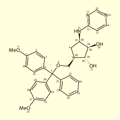 COc1ccc(C(OC[C@H]2C[C@@H](Nc3ccncn3)[C@@H](O)[C@@H]2O)(c2ccccc2)c2ccc(OC)cc2)cc1